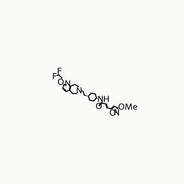 COc1cc(/C=C/C(=O)N[C@H]2CC[C@H](CCN3CCc4ccc(OCC(F)F)nc4CC3)CC2)on1